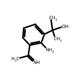 CC(=N)c1cccc(C(C)(C)O)c1N